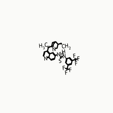 C=CC1CN2CCC1CC2[C@H](C)c1ccnc2ccc(NC(=S)Nc3cc(C(F)(F)F)cc(C(F)(F)F)c3)cc12